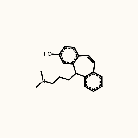 CN(C)CCCC1c2ccccc2C=Cc2ccc(O)cc21